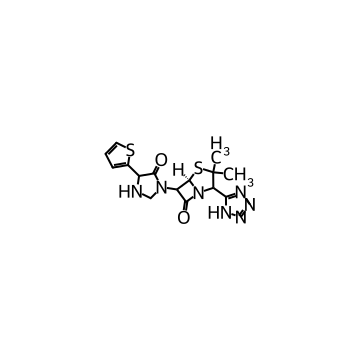 CC1(C)S[C@@H]2C(N3CNC(c4cccs4)C3=O)C(=O)N2C1c1nnn[nH]1